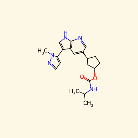 CC(C)NC(=O)O[C@@H]1CC[C@H](c2cnc3[nH]cc(-c4ccnn4C)c3c2)C1